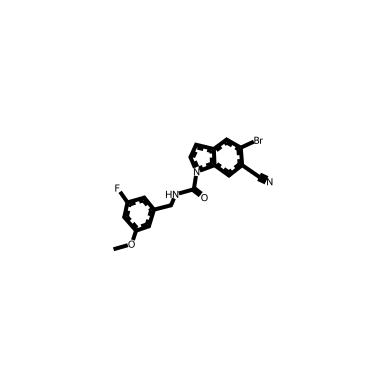 COc1cc(F)cc(CNC(=O)n2ccc3cc(Br)c(C#N)cc32)c1